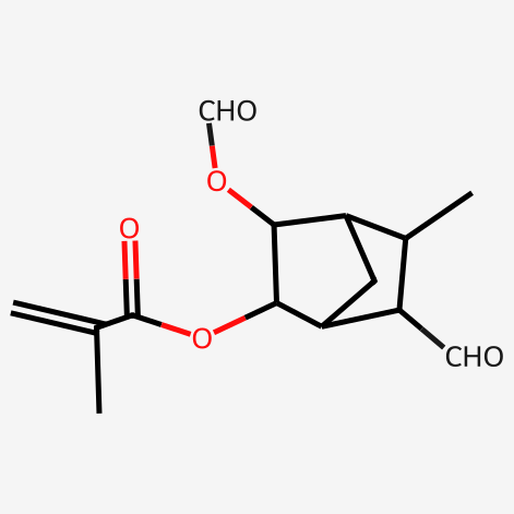 C=C(C)C(=O)OC1C2CC(C(C)C2C=O)C1OC=O